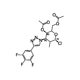 CC(=O)OCC1O[C@@H](Cl)C(C)[C@@H](n2cc(-c3cc(F)c(F)c(F)c3)nn2)[C@H]1OC(C)=O